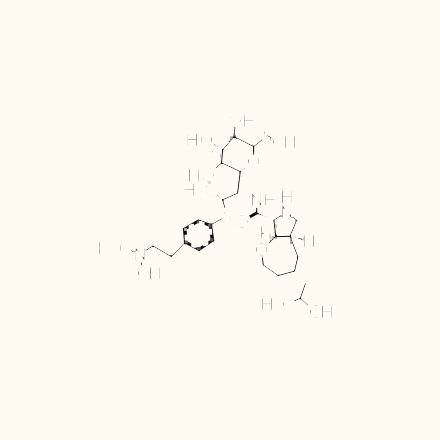 CSC1O[C@H]([C@H](NC(=O)[C@H]2NC[C@@H]3C[C@H](CC(C)C)CCO[C@H]32)[C@H](C)Sc2ccc(CCN(C)C)cc2)C(O)[C@@H](O)[C@H]1O